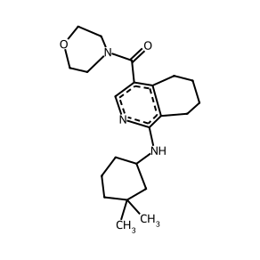 CC1(C)CCCC(Nc2ncc(C(=O)N3CCOCC3)c3c2CCCC3)C1